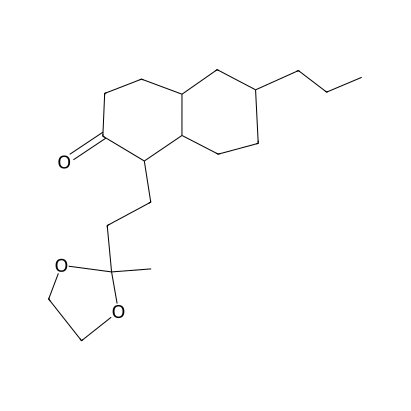 CCCC1CCC2C(CCC(=O)C2CCC2(C)OCCO2)C1